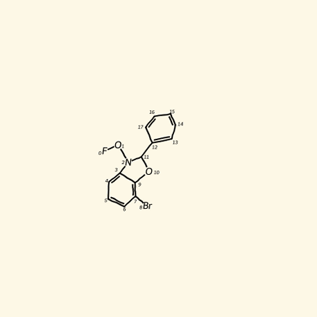 FON1c2cccc(Br)c2OC1c1ccccc1